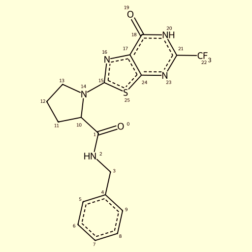 O=C(NCc1ccccc1)C1CCCN1c1nc2c(=O)[nH]c(C(F)(F)F)nc2s1